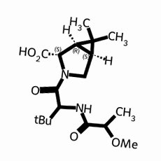 COC(C)C(=O)NC(C(=O)N1C[C@H]2[C@@H]([C@H]1C(=O)O)C2(C)C)C(C)(C)C